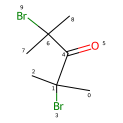 CC(C)(Br)C(=O)C(C)(C)Br